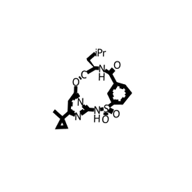 CC(C)C[C@@H]1COc2cc(C3(C)CC3)nc(n2)NS(=O)(=O)c2cccc(c2)C(=O)N1